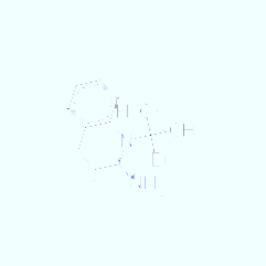 CCC(C)(C)N1c2ccccc2CCC1N